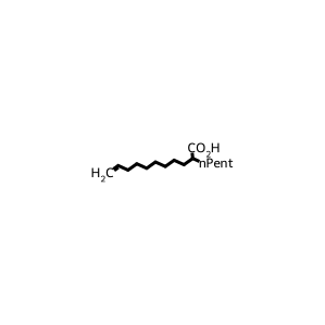 C=CCCCCCCCC(CCCCC)C(=O)O